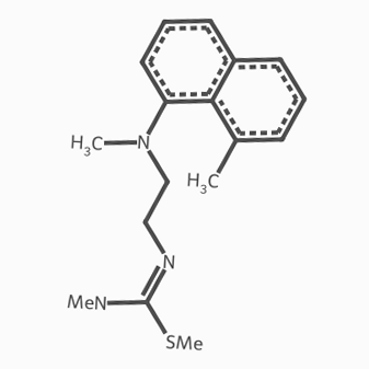 CN/C(=N\CCN(C)c1cccc2cccc(C)c12)SC